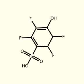 O=S(=O)(O)C1=C(F)C(F)=C(O)C(F)C1F